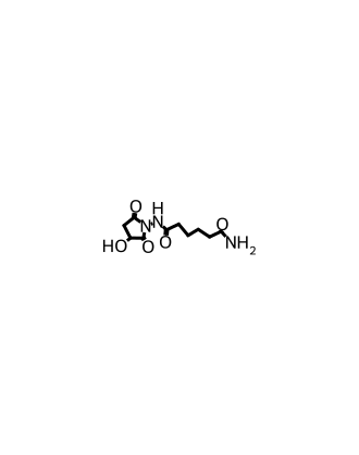 NC(=O)CCCCC(=O)NN1C(=O)CC(O)C1=O